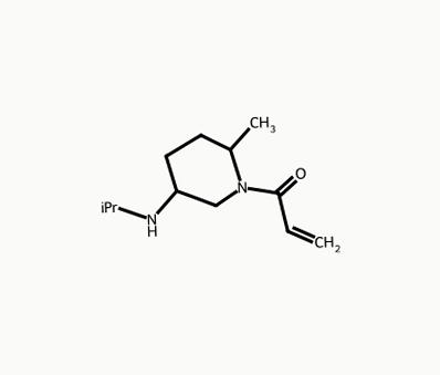 C=CC(=O)N1CC(NC(C)C)CCC1C